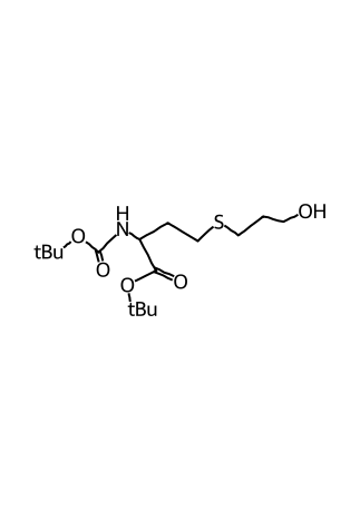 CC(C)(C)OC(=O)NC(CCSCCCO)C(=O)OC(C)(C)C